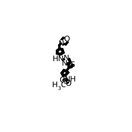 CS(=O)(=O)Nc1cccc(-c2csc3cnc(Nc4ccc(CN5CCOCC5)cc4)nc23)c1